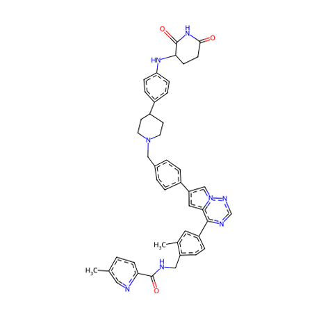 Cc1ccc(C(=O)NCc2ccc(-c3ncnn4cc(-c5ccc(CN6CCC(c7ccc(NC8CCC(=O)NC8=O)cc7)CC6)cc5)cc34)cc2C)nc1